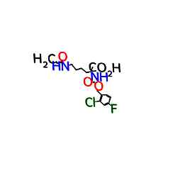 C=CC(=O)NCCCC[C@H](NC(=O)OCc1ccc(F)cc1Cl)C(=O)O